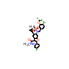 CNC(=O)c1c(-c2ccc(F)cc2)oc2cc(N(Cc3ccc(Br)c(OC(F)F)c3)S(C)(=O)=O)c(C3CC3)cc12